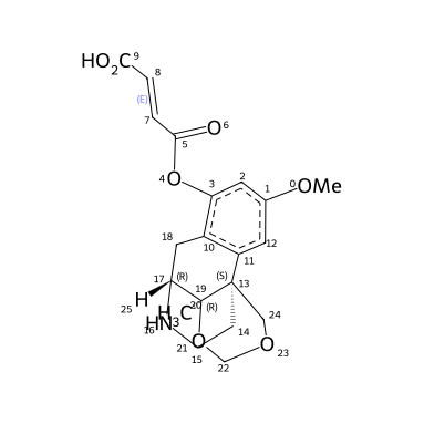 COc1cc(OC(=O)/C=C/C(=O)O)c2c(c1)[C@]13CCN[C@H](C2)[C@]1(C)OCOC3